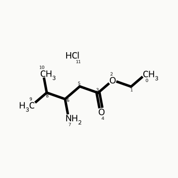 CCOC(=O)CC(N)C(C)C.Cl